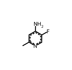 Cc1cc(N)c(F)cn1